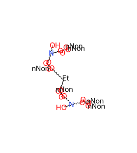 CCCCCCCCCOC(CCC(=O)OCCCCCCN(CCCCO)CCCCCCOC(=O)CCC(OCCCCCCCCC)OCCCCCCC(CC)CCCCCCCCCOC(CCC(=O)OCCCCCN(CCCCO)CCCCCOC(=O)CCC(OCCCCCCCCC)OCCCCCCCCC)OCCCCCCCCC)OCCCCCCCCC